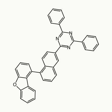 c1ccc(-c2nc(-c3ccccc3)nc(-c3ccc4c(-c5cccc6oc7ccccc7c56)cccc4c3)n2)cc1